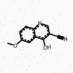 COc1ccc2ncc(C#N)c(O)c2c1